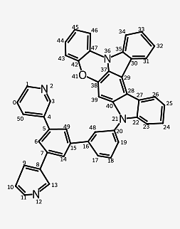 c1cncc(-c2cc(-c3cccnc3)cc(-c3cccc(-n4c5ccccc5c5c6c7ccccc7n7c6c(cc54)Oc4ccccc4-7)c3)c2)c1